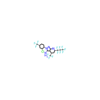 Nc1c2c(C(F)(F)F)cc(C(F)(F)C(F)(F)C(F)(F)F)nc2nn1-c1ccc(C(F)(F)F)cc1Cl